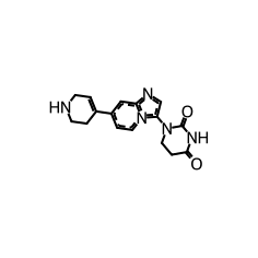 O=C1CCN(c2cnc3cc(C4=CCNCC4)ccn23)C(=O)N1